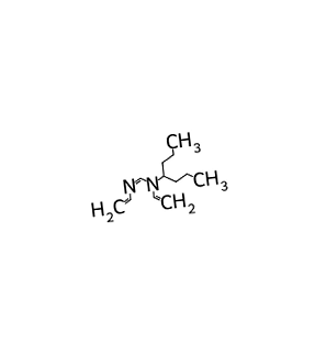 C=C/N=C\N(C=C)C(CCC)CCC